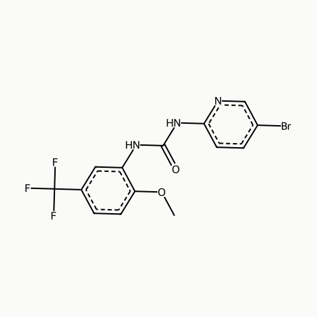 COc1ccc(C(F)(F)F)cc1NC(=O)Nc1ccc(Br)cn1